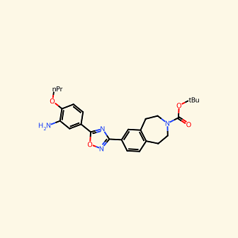 CCCOc1ccc(-c2nc(-c3ccc4c(c3)CCN(C(=O)OC(C)(C)C)CC4)no2)cc1N